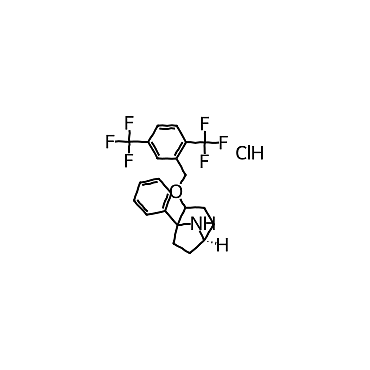 Cl.FC(F)(F)c1ccc(C(F)(F)F)c(COC2CC[C@H]3CCC2(c2ccccc2)N3)c1